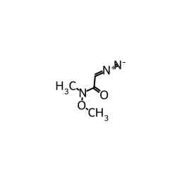 CON(C)C(=O)C=[N+]=[N-]